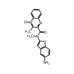 Cc1c(C(=O)N(C)c2cc3cc(N)ccc3o2)nc2ccccc2[n+]1[O-]